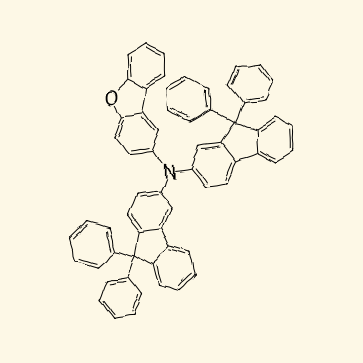 c1ccc(C2(c3ccccc3)c3ccccc3-c3cc(N(c4ccc5c(c4)C(c4ccccc4)(c4ccccc4)c4ccccc4-5)c4ccc5oc6ccccc6c5c4)ccc32)cc1